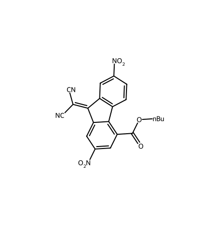 CCCCOC(=O)c1cc([N+](=O)[O-])cc2c1-c1ccc([N+](=O)[O-])cc1C2=C(C#N)C#N